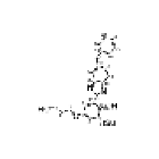 CC(C)(C)c1cc(OCCCO)cc(-n2nc3ccc(Sc4ccccc4)cc3n2)c1O